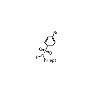 CCCCCCCN(F)S(=O)(=O)c1ccc(Br)cc1